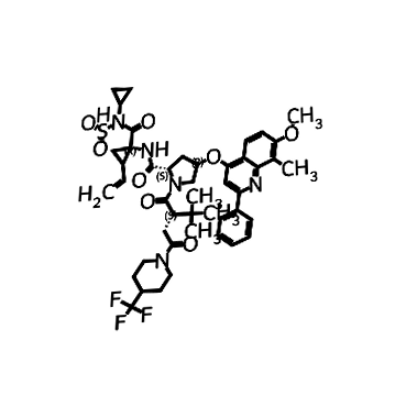 C=CC1C[C@]1(NC(=O)[C@@H]1C[C@@H](Oc2cc(-c3ccccc3)nc3c(C)c(OC)ccc23)CN1C(=O)[C@@H](CC(=O)N1CCC(C(F)(F)F)CC1)C(C)(C)C)C(=O)N(C1CC1)[SH](=O)=O